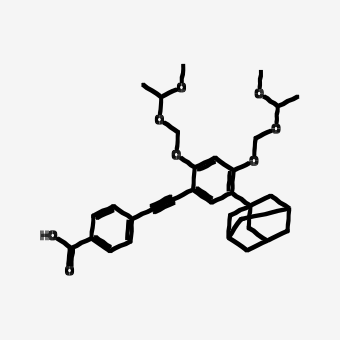 COC(C)OCOc1cc(OCOC(C)OC)c(C23CC4CC(CC(C4)C2)C3)cc1C#Cc1ccc(C(=O)O)cc1